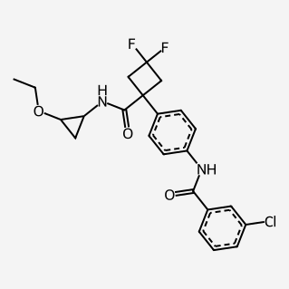 CCOC1CC1NC(=O)C1(c2ccc(NC(=O)c3cccc(Cl)c3)cc2)CC(F)(F)C1